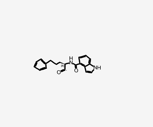 O=[C][C@@H](CCCc1ccccc1)NC(=O)c1cccc2[nH]ccc12